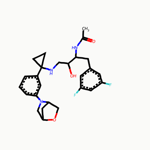 CC(=O)NC(Cc1cc(F)cc(F)c1)C(O)CNC1(c2cccc(N3CC4CC3CO4)c2)CC1